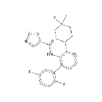 O=C(Nc1c(-c2cc(F)ccc2F)ccnc1C1CCC(F)(F)CC1)c1cnsc1